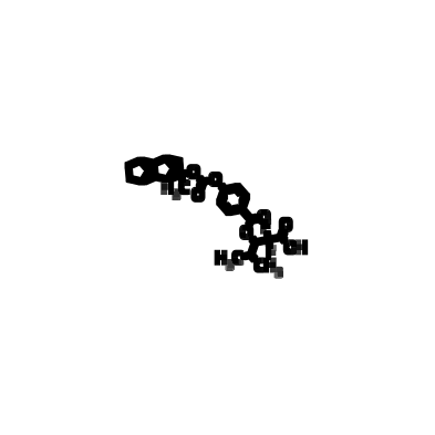 CC(C)C(OC(=O)c1ccc(OC(=O)OC2(C)CC3CC2C2C4CCC(C4)C32)cc1)C(F)(F)C(=O)O